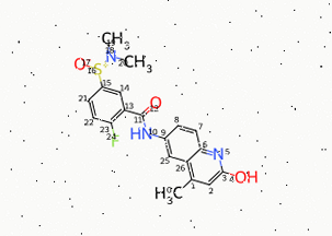 Cc1cc(O)nc2ccc(NC(=O)c3cc([S+]([O-])N(C)C)ccc3F)cc12